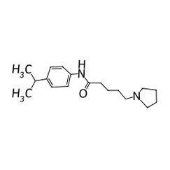 CC(C)c1ccc(NC(=O)CCCCN2CCCC2)cc1